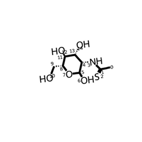 CC(=S)N[C@@H]1C(O)O[C@H](CO)[C@@H](O)[C@@H]1O